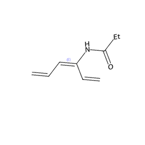 C=C/C=C(\C=C)NC(=O)CC